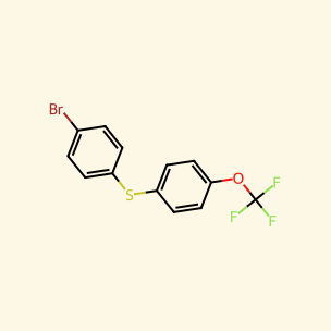 FC(F)(F)Oc1ccc(Sc2ccc(Br)cc2)cc1